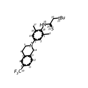 Cc1cc(N2CCc3cc(C(F)(F)F)ccc3C2)cc(C)c1NC(=S)CC(C)(C)C